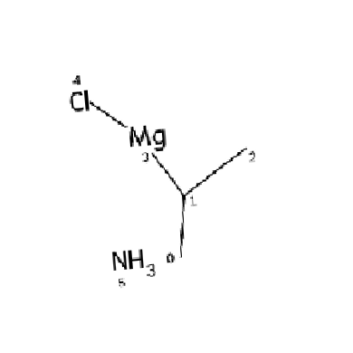 C[CH](C)[Mg][Cl].N